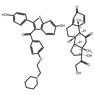 C[C@]12C=CC(=O)C=C1CC[C@@H]1[C@@H]2C(=O)C[C@@]2(C)[C@H]1CC[C@]2(O)C(=O)CO.O=C(c1ccc(OCCN2CCCCC2)cc1)c1c(-c2ccc(O)cc2)sc2cc(O)ccc12